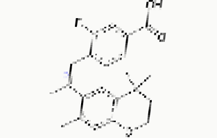 C/C(=C/c1ccc(C(=O)O)cc1F)c1cc2c(cc1C)OCCC2(C)C